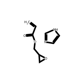 C=CC(=O)OCC1CO1.c1c[nH]cn1